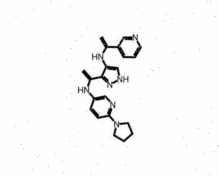 C=C(Nc1c[nH]nc1C(=C)Nc1ccc(N2CCCC2)nc1)c1cccnc1